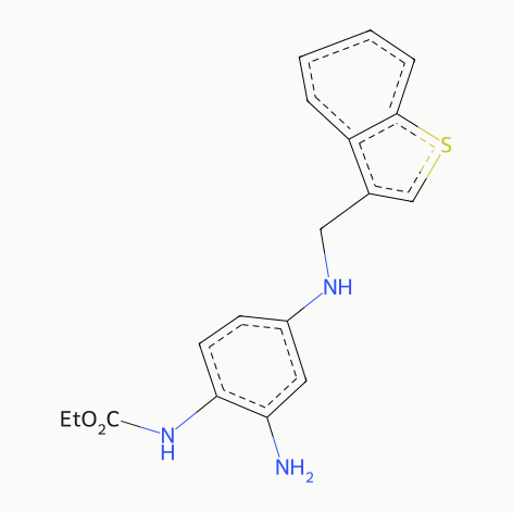 CCOC(=O)Nc1ccc(NCc2csc3ccccc23)cc1N